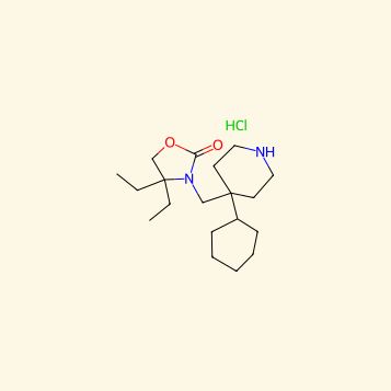 CCC1(CC)COC(=O)N1CC1(C2CCCCC2)CCNCC1.Cl